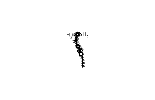 C=CCCCCCCC1CCC(OC(=O)c2ccc(/C=C/C(=O)OCc3cc(N)ccc3N)cc2)CC1